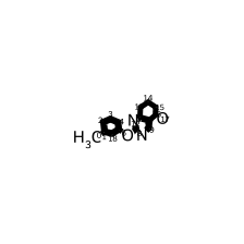 Cc1cccc(Oc2ncc3c(n2)CCCC3=O)c1